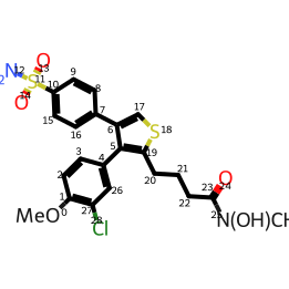 COc1ccc(-c2c(-c3ccc(S(N)(=O)=O)cc3)csc2CCCC(=O)N(C)O)cc1Cl